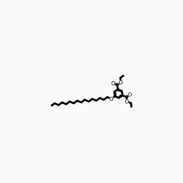 CCCCCCCCCCCCCCCCOc1cc(C(=O)OCC)cc(C(=O)OCC)c1